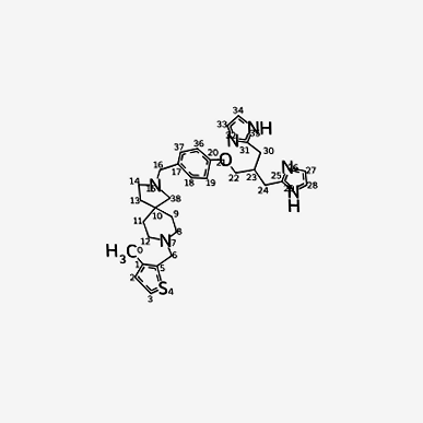 Cc1ccsc1CN1CCC2(CC1)CCN(Cc1ccc(OCC(Cc3ncc[nH]3)Cc3ncc[nH]3)cc1)C2